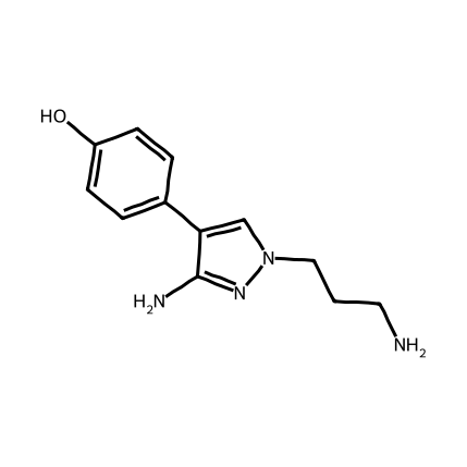 NCCCn1cc(-c2ccc(O)cc2)c(N)n1